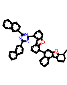 CC1CC=Cc2c1oc1cc(-c3cccc4c3oc3cccc(-c5nc(-c6ccc7ccccc7c6)nc(-c6ccc7ccccc7c6)n5)c34)c3ccccc3c21